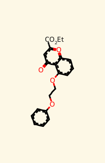 CCOC(=O)c1cc(=O)c2c(OCCOc3ccccc3)cccc2o1